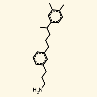 Cc1ccc(C(C)CCCc2cccc(CCCN)c2)cc1C